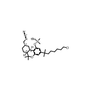 CC(C)(CCCCCCCl)c1cc2c(c(O[Si](C)(C)C(C)(C)C)c1)[C@@H]1C[C@H](CN=[N+]=[N-])CC[C@H]1C(C)(C)O2